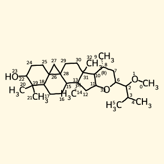 COC(C(C)C)C1C[C@@H](C)C2C(C[C@@]3(C)C4CCC5C(C)(C)C(O)CCC56CC46CCC23C)O1